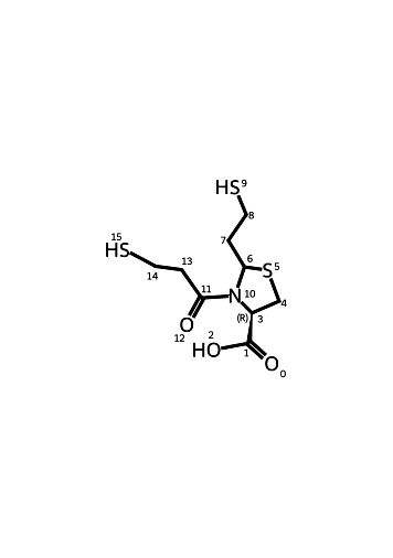 O=C(O)[C@@H]1CSC(CCS)N1C(=O)CCS